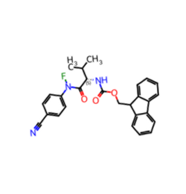 CC(C)[C@H](NC(=O)OCC1c2ccccc2-c2ccccc21)C(=O)N(F)c1ccc(C#N)cc1